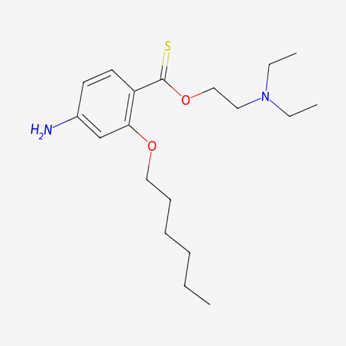 CCCCCCOc1cc(N)ccc1C(=S)OCCN(CC)CC